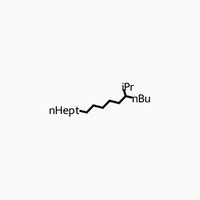 [CH2]CCCC(CCCCCCCCCCCC)C(C)C